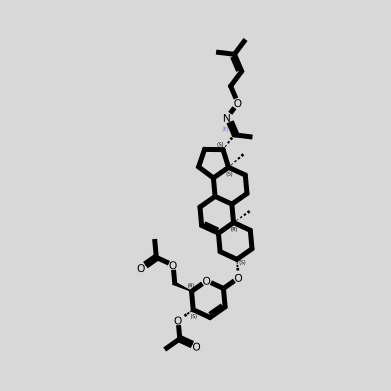 CC(=O)OC[C@H]1OC(O[C@H]2CC[C@@]3(C)C(=CCC4C3CC[C@@]3(C)C4CC[C@@H]3/C(C)=N/OCC=C(C)C)C2)C=C[C@@H]1OC(C)=O